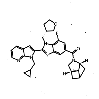 O=C(c1cc(F)c2c(c1)nc(-c1cc3cccnc3n1CC1CC1)n2C[C@@H]1CCOC1)N1C[C@H]2CC3C[C@@H]1[C@H]32